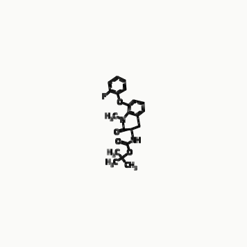 CN1C(=O)C(NC(=O)OC(C)(C)C)Cc2cccc(Oc3ccccc3F)c21